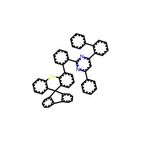 c1ccc(-c2cc(-c3ccccc3-c3ccccc3)nc(-c3ccccc3-c3cccc4c3Sc3ccccc3C43c4ccccc4-c4ccccc43)n2)cc1